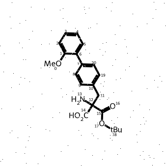 COc1ccccc1-c1ccc(CC(N)(C(=O)O)C(=O)OC(C)(C)C)cc1